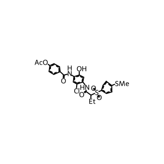 CCC(C(=O)Nc1cc(O)c(NC(=O)c2ccc(OC(C)=O)cc2)cc1Cl)S(=O)(=O)c1ccc(SC)cc1